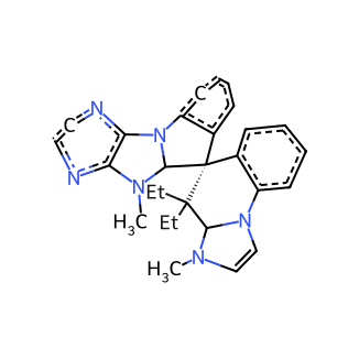 CCC1(CC)C2N(C)C=CN2c2ccccc2[C@@]12c1ccccc1N1c3nccnc3N(C)C12